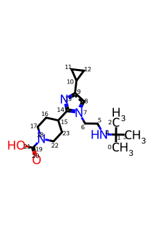 CC(C)(C)NCCn1cc(C2CC2)nc1C1CCN(C(=O)O)CC1